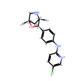 Clc1ccc(Nc2ccc([C@H]3O[C@@H]4CN[C@H]3C4)cc2)nc1